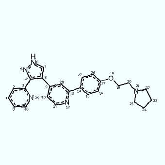 c1ccc(-c2n[nH]cc2-c2ccnc(-c3ccc(OCCN4CCCC4)cc3)c2)nc1